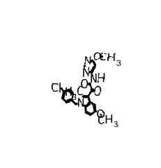 COc1ccc2c(c1)c(C(=O)C(=O)Nc1cc(OC)ncn1)c(C)n2Cc1ccc(Cl)cc1